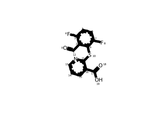 O=Cc1c(F)ccc(F)c1Sc1ncccc1C(=O)O